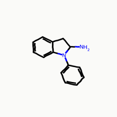 NC1Cc2ccccc2N1c1ccccc1